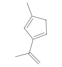 C=C(C)C1=CCC(C)=C1